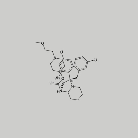 COCCN1CCN(OC(=O)NC2CCCCN2[C@]2(Cc3cccc(Cl)c3)C(=O)Nc3cc(Cl)ccc32)CC1